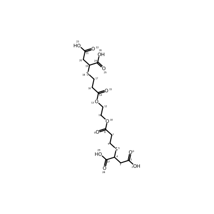 O=C(O)CC(SCCC(=O)OCCOC(=O)CCSC(CC(=O)O)C(=O)O)C(=O)O